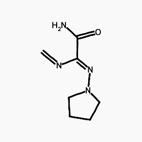 C=N/C(=N\N1CCCC1)C(N)=O